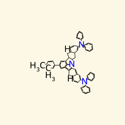 C/C=C(\C=C/CC)c1cc2c3c(c1)c1c(n3C3CC4C=C(N(c5ccccc5)c5ccccc5)C=C[C@@H]4CC23)C=C2C=C(N(c3ccccc3)c3ccccc3)C=C[C@H]2C1